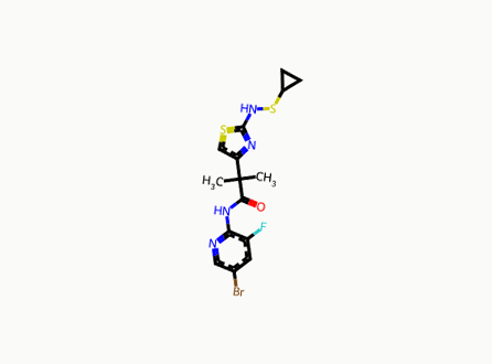 CC(C)(C(=O)Nc1ncc(Br)cc1F)c1csc(NSC2CC2)n1